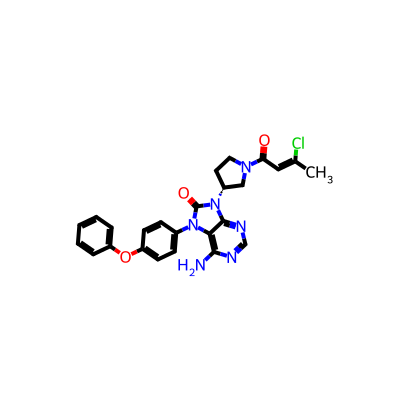 CC(Cl)=CC(=O)N1CC[C@@H](n2c(=O)n(-c3ccc(Oc4ccccc4)cc3)c3c(N)ncnc32)C1